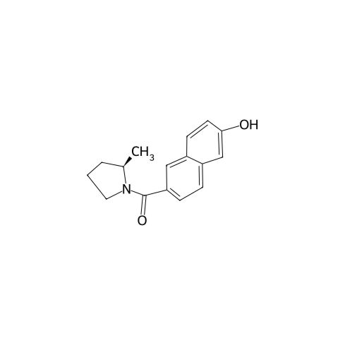 C[C@@H]1CCCN1C(=O)c1ccc2cc(O)ccc2c1